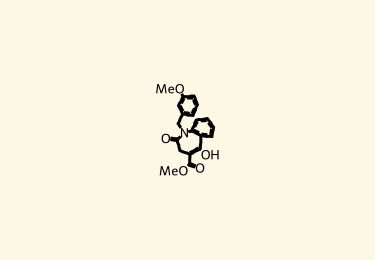 COC(=O)C1=C(O)c2ccccc2N(Cc2cccc(OC)c2)C(=O)C1